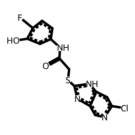 O=C(CSc1nc2cnc(Cl)cc2[nH]1)Nc1ccc(F)c(O)c1